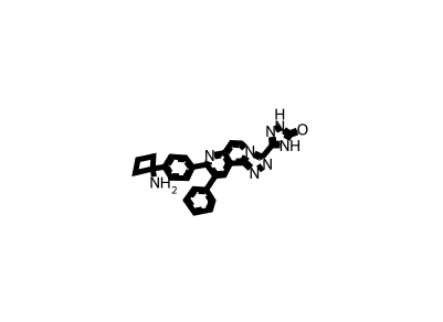 NC1(c2ccc(-c3nc4ccn5c(-c6n[nH]c(=O)[nH]6)nnc5c4cc3-c3ccccc3)cc2)CCC1